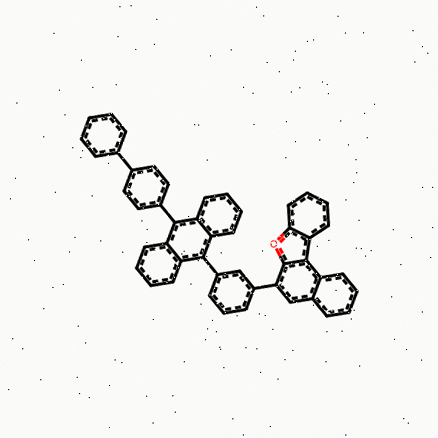 c1ccc(-c2ccc(-c3c4ccccc4c(-c4cccc(-c5cc6ccccc6c6c5oc5ccccc56)c4)c4ccccc34)cc2)cc1